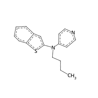 CCCCN(c1ccncc1)c1cc2ccccc2s1